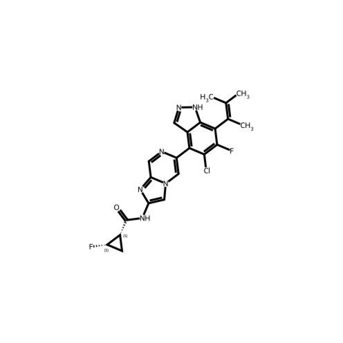 CC(C)=C(C)c1c(F)c(Cl)c(-c2cn3cc(NC(=O)[C@@H]4C[C@@H]4F)nc3cn2)c2cn[nH]c12